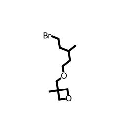 CC(CCBr)CCOCC1(C)COC1